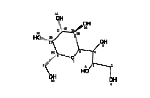 OCC(O)C(O)C1O[C@H](CO)[C@H](O)[C@H](O)[C@H]1O